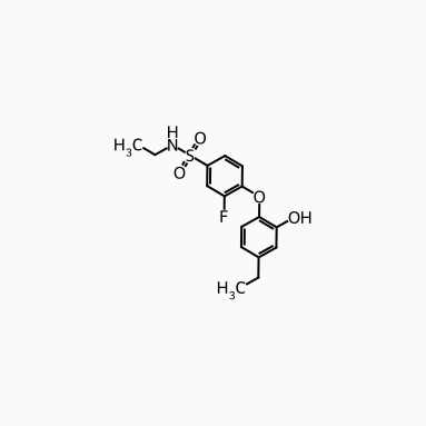 CCNS(=O)(=O)c1ccc(Oc2ccc(CC)cc2O)c(F)c1